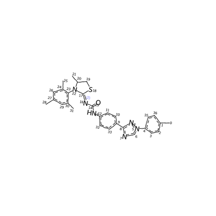 Cc1ccc(-n2cnc(-c3ccc(NC(=O)/N=C4\SCC(C)N4c4c(C)cc(C)cc4C)cc3)n2)cc1